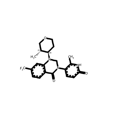 Cc1[nH]c(=O)ccc1N1CN([C@@H]2CCOC[C@H]2C)c2cc(C(F)(F)F)ccc2C1=O